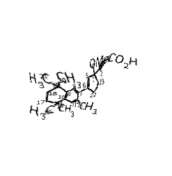 COC1(C#CC(=O)O)C=C(c2cc3c(cc2C)C(C)(C)CCC3(C)C)CC1